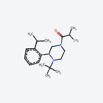 CC(C)C(=O)N1CCN(C(C)(C)C)C(c2ccccc2C(C)C)C1